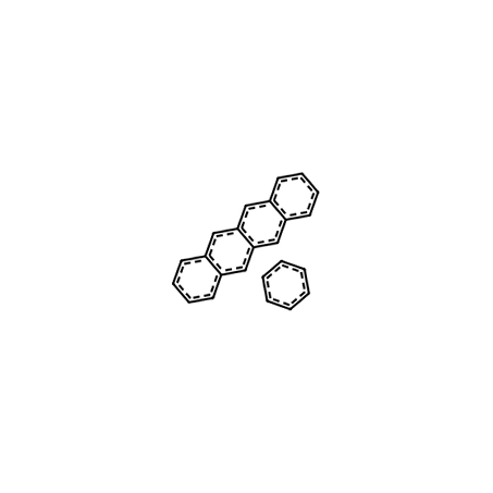 c1ccc2cc3cc4ccccc4cc3cc2c1.c1ccccc1